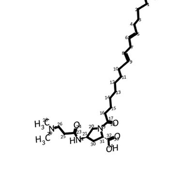 CCCCCC=CCC=CCCCCCCCC(=O)N1C[C@H](NC(=O)CCN(C)C)C[C@H]1C(=O)O